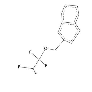 FC(F)C(F)(F)OCc1ccc2ccccc2c1